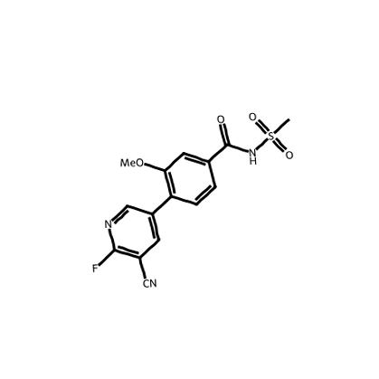 COc1cc(C(=O)NS(C)(=O)=O)ccc1-c1cnc(F)c(C#N)c1